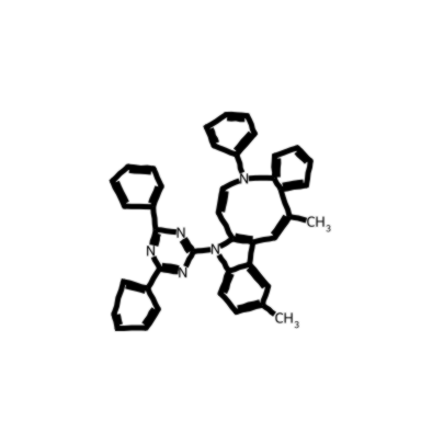 Cc1ccc2c(c1)c1cc(C)c3ccccc3n(-c3ccccc3)ccc1n2-c1nc(-c2ccccc2)nc(-c2ccccc2)n1